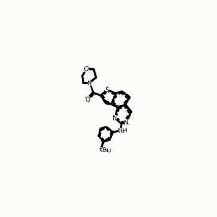 CC(C)(C)c1cccc(Nc2ncc3ccc4sc(C(=O)N5CCOCC5)cc4c3n2)c1